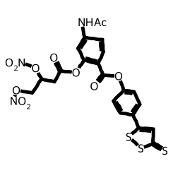 CC(=O)Nc1ccc(C(=O)Oc2ccc(-c3cc(=S)ss3)cc2)c(OC(=O)CC(CO[N+](=O)[O-])O[N+](=O)[O-])c1